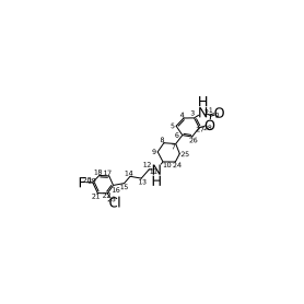 O=c1[nH]c2ccc(C3CCC(NCCCCc4ccc(F)cc4Cl)CC3)cc2o1